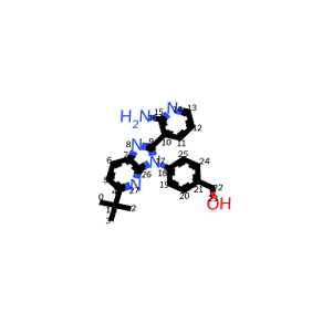 CC(C)(C)c1ccc2nc(-c3cccnc3N)n(-c3ccc(CO)cc3)c2n1